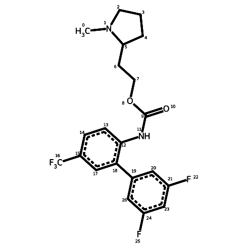 CN1CCCC1CCOC(=O)Nc1ccc(C(F)(F)F)cc1-c1cc(F)cc(F)c1